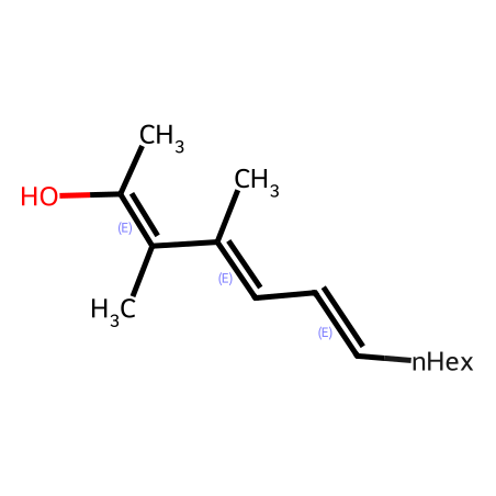 CCCCCC/C=C/C=C(C)/C(C)=C(\C)O